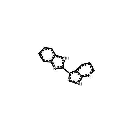 c1ccc2[nH]c(-c3n[nH]c4ncccc34)nc2c1